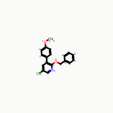 COc1ccc(-c2cc(Cl)cnc2OCc2ccccc2)cc1